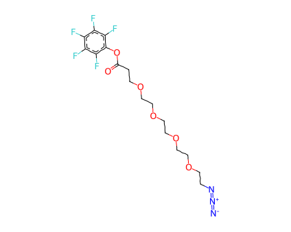 [N-]=[N+]=NCCOCCOCCOCCOCCC(=O)Oc1c(F)c(F)c(F)c(F)c1F